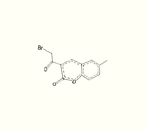 Cc1ccc2oc(=O)c(C(=O)CBr)cc2c1